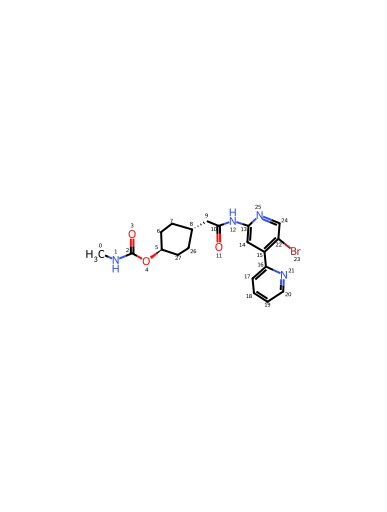 CNC(=O)O[C@H]1CC[C@H](CC(=O)Nc2cc(-c3ccccn3)c(Br)cn2)CC1